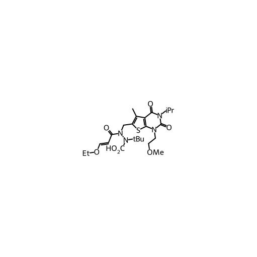 CCOC=CC(=O)N(Cc1sc2c(c1C)c(=O)n(C(C)C)c(=O)n2CCOC)N(C(=O)O)C(C)(C)C